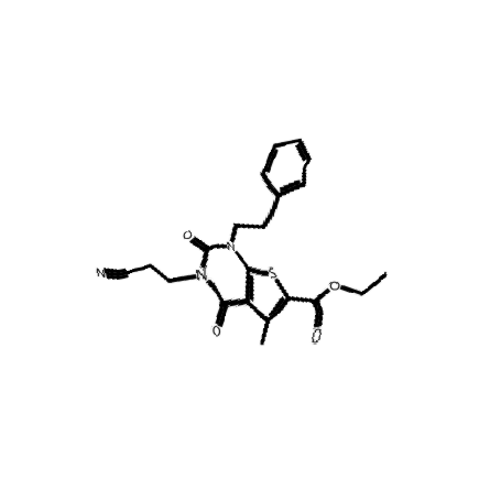 CCOC(=O)c1sc2c(c1C)c(=O)n(CCC#N)c(=O)n2CCc1ccccc1